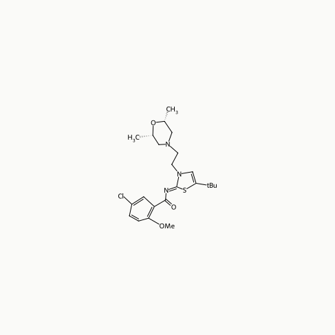 COc1ccc(Cl)cc1C(=O)/N=c1\sc(C(C)(C)C)cn1CCN1C[C@@H](C)O[C@@H](C)C1